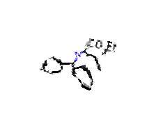 C=CCC(N=C(c1ccccc1)c1ccccc1)C(=O)OCC